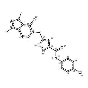 Cc1nn(C)c2ncn(Cc3nc(C(=O)Nc4ccc(Cl)cc4)no3)c(=O)c12